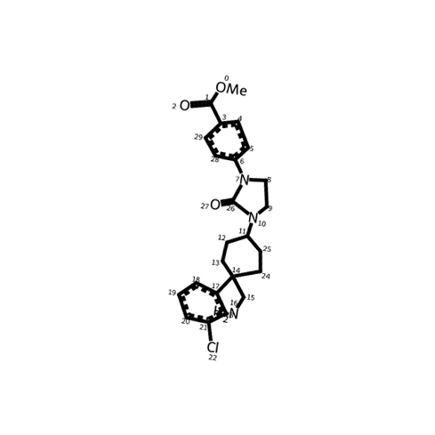 COC(=O)c1ccc(N2CCN(C3CCC(CN)(c4cccc(Cl)c4)CC3)C2=O)cc1